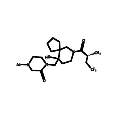 CC(=O)N1CCN(CC2(O)CCN(C(=O)[C@H](C)CC(F)(F)F)CC23CCCC3)C(=O)C1